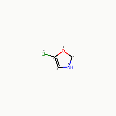 ClC1=[C]NCO1